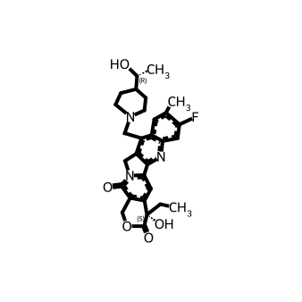 CC[C@@]1(O)C(=O)OCc2c1cc1n(c2=O)Cc2c-1nc1cc(F)c(C)cc1c2CN1CCC([C@@H](C)O)CC1